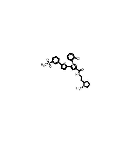 CN1CCCC1CCNC(=O)c1cc(-c2ccc(-c3cccc(S(C)(=O)=O)c3)s2)n(-c2ccccc2Cl)n1